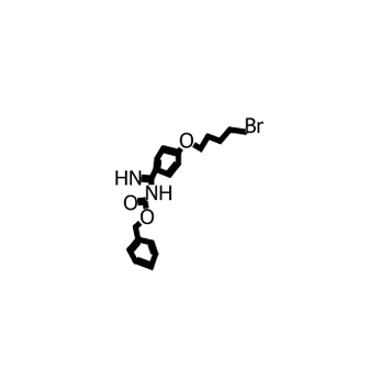 N=C(NC(=O)OCc1ccccc1)c1ccc(OCCCCCBr)cc1